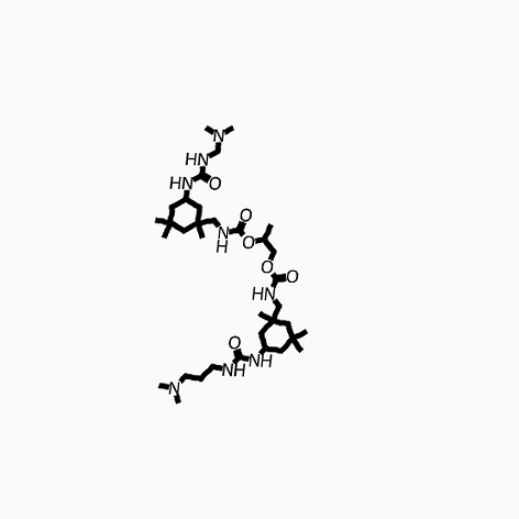 CC(COC(=O)NCC1(C)CC(NC(=O)NCCCN(C)C)CC(C)(C)C1)OC(=O)NCC1(C)CC(NC(=O)NCN(C)C)CC(C)(C)C1